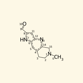 CN1CCc2cc3[nH]c(C=O)cc3nc2C1